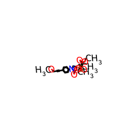 CCOC(=O)C(C)(C[C@H]1CN(c2ccc(C#CCOC)cc2)C(=O)O1)S(C)(=O)=O